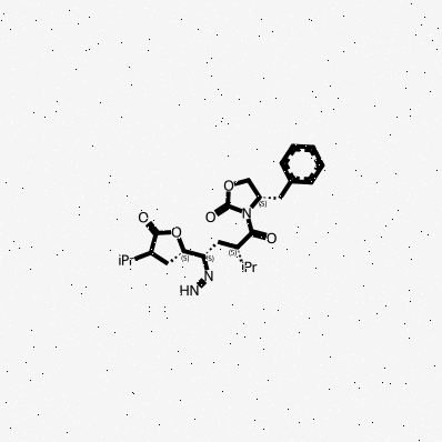 CC(C)C1C[C@@H]([C@H](C[C@H](C(=O)N2C(=O)OC[C@@H]2Cc2ccccc2)C(C)C)N=N)OC1=O